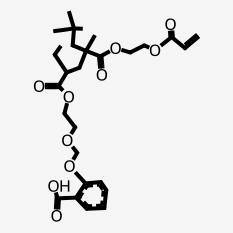 C=CC(=O)OCCOC(=O)C(C)(CC(CC)C(=O)OCCOCOc1ccccc1C(=O)O)CC(C)(C)C